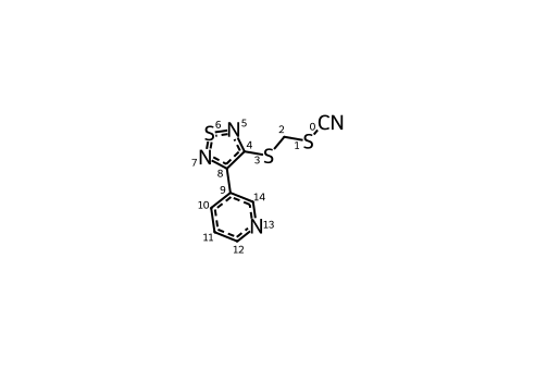 N#CSCSc1nsnc1-c1cccnc1